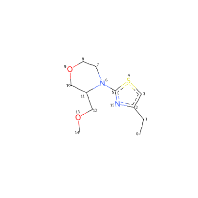 CCc1csc(N2CCOCC2COC)n1